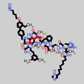 CCc1cc(OCCCCN=[N+]=[N-])ccc1-c1ccc(C[C@H](NC(=O)[C@H](CC(=O)O)NC(=O)[C@H](C)NC(=O)[C@@H](NC(=O)[C@](C)(Cc2ccccc2F)NC(=O)[C@@H](NC(=O)CNC(=O)[C@H](Cc2nn[nH]n2)NC(=O)C(C)(C)NC(=O)CCCCCCCc2cnc[nH]2)[C@@H](C)O)[C@@H](C)O)C(=O)N[C@@H](CCCc2cc(C)cc(C)c2)C(N)=O)cc1